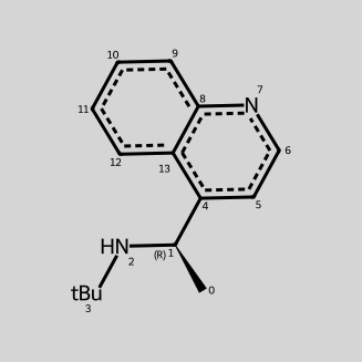 C[C@@H](NC(C)(C)C)c1ccnc2ccccc12